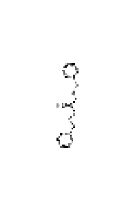 ON(CSCc1ccccc1)CSCc1ccccc1